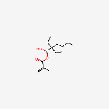 C=C(C)C(=O)OC(O)C(CC)(CC)CCCC